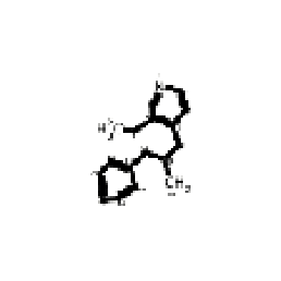 CCc1cnccc1CC(C)Cc1ccccc1